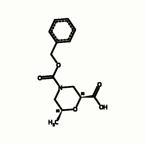 C[C@@H]1CN(C(=O)OCc2ccccc2)C[C@H](C(=O)O)O1